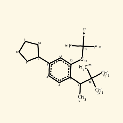 CC(c1ccc(C2CCCC2)cc1SC(F)(F)F)C(C)(C)C